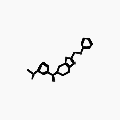 CN(C)c1cccc(C(=O)N2CCc3nc(COc4ccccc4)oc3C2)c1